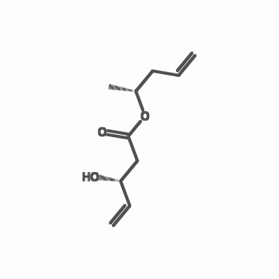 C=CC[C@@H](C)OC(=O)C[C@@H](O)C=C